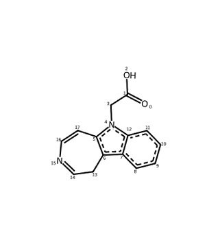 O=C(O)Cn1c2c(c3ccccc31)CC=NC=C2